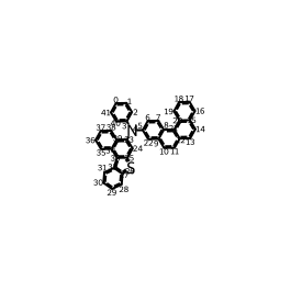 c1ccc(N(c2ccc3c(ccc4ccc5ccccc5c43)c2)c2cc3sc4ccccc4c3c3ccccc23)cc1